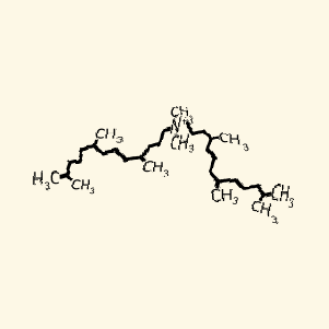 CC(C)CCCC(C)CCCC(C)CCC[N+](C)(C)CCCC(C)CCCC(C)CCCC(C)C